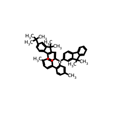 Cc1ccc(-c2ccc(C)cc2N(c2ccc3c(c2)C(C)(C)c2ccccc2-3)c2ccc3c(c2)C(C)(C)c2cc(C(C)(C)C)ccc2-3)cc1